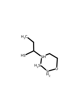 CCC(S)[SiH]1CCO[SiH2][SiH2]1